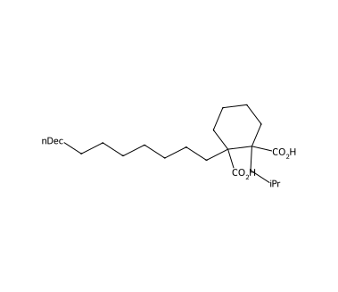 CCCCCCCCCCCCCCCCCC1(C(=O)O)CCCCC1(CC(C)C)C(=O)O